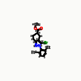 CCc1cccc(CC)c1-n1nc2c(c1Br)CC(C(=O)OC(C)(C)C)CC2